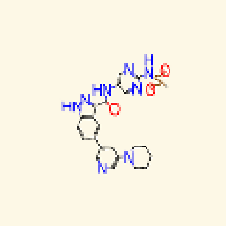 CS(=O)(=O)Nc1ncc(NC(=O)c2n[nH]c3ccc(-c4cncc(N5CCCCC5)c4)cc23)cn1